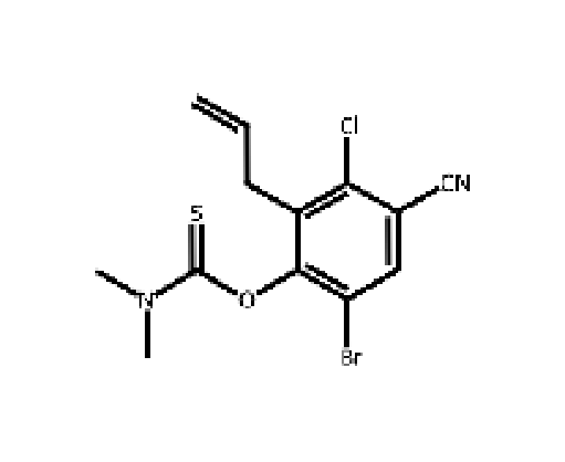 C=CCc1c(Cl)c(C#N)cc(Br)c1OC(=S)N(C)C